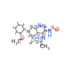 COc1ccccc1-c1ccc2c(N[C@H](C)C3CC3)c(NC=O)nnc2c1